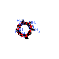 CCCC[C@@H]1NC(=O)CN(S(C)(=O)=O)CCNC(=O)[C@H](CCCCN)NC(=O)[C@H](CC(C)C)NC(=O)[C@H](CCCCN)NC(=O)[C@H](CC(C)C)NC(=O)[C@H](CCCCN)NC(=O)COC[C@H]2CCCN2C(=O)[C@H](Cc2c[nH]c3ccccc23)NC(=O)[C@H](C)NC(=O)[C@H](C(C)C)NC(=O)[C@H](C(C)C)NC1=O